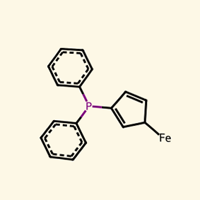 [Fe][CH]1C=CC(P(c2ccccc2)c2ccccc2)=C1